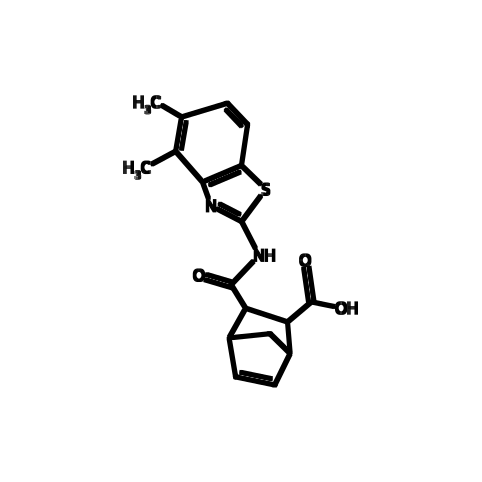 Cc1ccc2sc(NC(=O)C3C4C=CC(C4)C3C(=O)O)nc2c1C